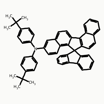 CC(C)(C)c1ccc(N(c2ccc(C(C)(C)C)cc2)c2ccc3c4c(ccc3c2)-c2c(ccc3ccccc23)C42c3ccccc3-c3ccccc32)cc1